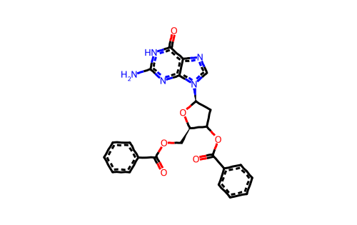 Nc1nc2c(ncn2[C@H]2CC(OC(=O)c3ccccc3)[C@@H](COC(=O)c3ccccc3)O2)c(=O)[nH]1